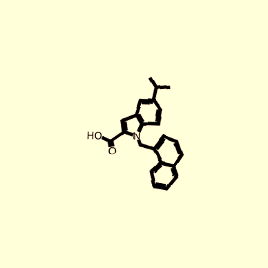 CC(C)c1ccc2c(c1)cc(C(=O)O)n2Cc1cccc2ccccc12